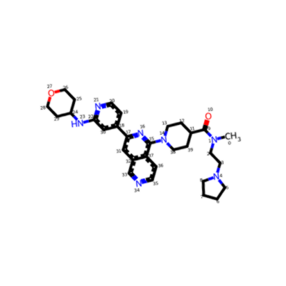 CN(CCN1CCCC1)C(=O)C1CCN(c2nc(-c3ccnc(NC4CCOCC4)c3)cc3cnccc23)CC1